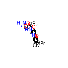 CC[C@](OC(N)=O)(C(=O)Nc1ccc(Oc2ccc(C#N)c(C(C)C)c2)nc1)C(C)(C)C